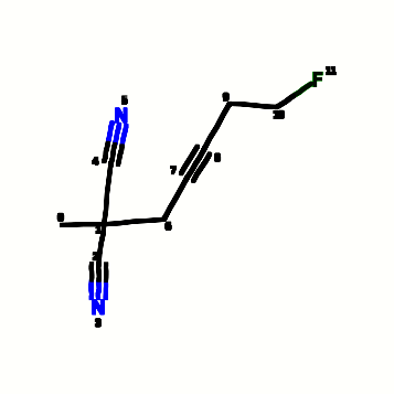 CC(C#N)(C#N)CC#CCCF